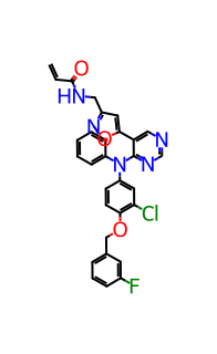 C=CC(=O)NCc1cc(-c2cncnc2N(c2ccccc2)c2ccc(OCc3cccc(F)c3)c(Cl)c2)on1